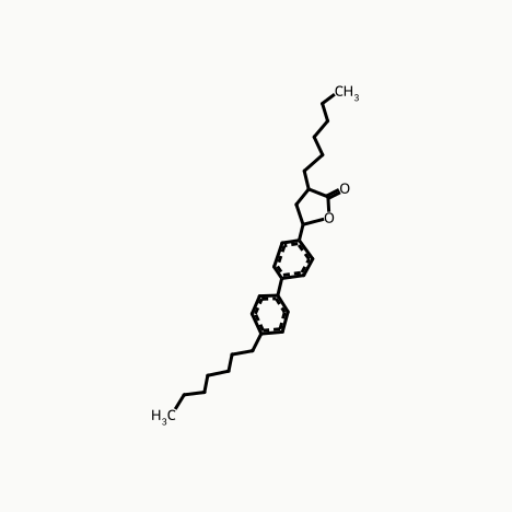 CCCCCCCc1ccc(-c2ccc(C3CC(CCCCCC)C(=O)O3)cc2)cc1